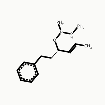 C/C=C/[C@H](CCc1ccccc1)OP(P)PP